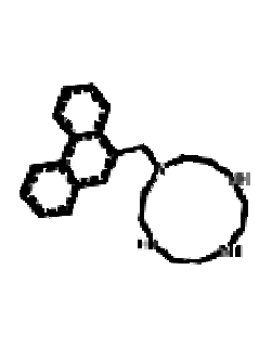 c1ccc2c(c1)cc(CN1CCNCCNCCNCC1)c1ccccc12